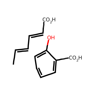 CC=CC=CC(=O)O.O=C(O)c1ccccc1O